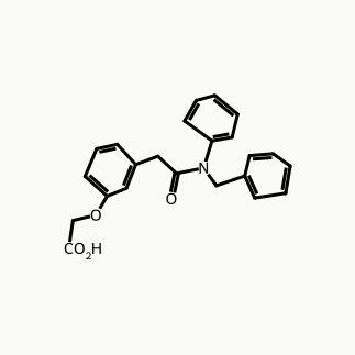 O=C(O)COc1cccc(CC(=O)N(Cc2ccccc2)c2ccccc2)c1